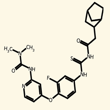 CN(C)C(=O)Nc1cc(Oc2ccc(NC(=S)NC(=O)CC3CC4CCC3C4)cc2F)ccn1